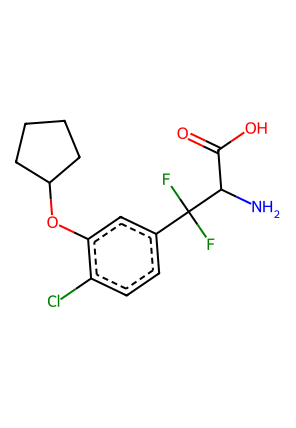 NC(C(=O)O)C(F)(F)c1ccc(Cl)c(OC2CCCC2)c1